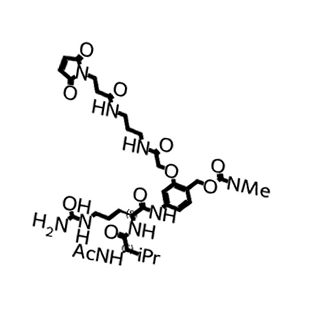 CNC(=O)OCc1ccc(NC(=O)[C@H](CCCNC(N)O)NC(=O)[C@@H](NC(C)=O)C(C)C)cc1OCC(=O)NCCCNC(=O)CCN1C(=O)C=CC1=O